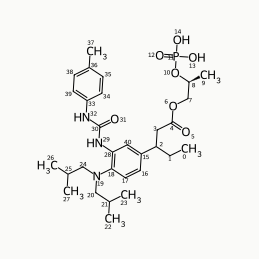 CCC(CC(=O)OC[C@H](C)OP(=O)(O)O)c1ccc(N(CC(C)C)CC(C)C)c(NC(=O)Nc2ccc(C)cc2)c1